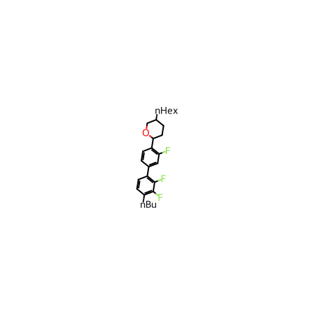 CCCCCCC1CCC(c2ccc(-c3ccc(CCCC)c(F)c3F)cc2F)OC1